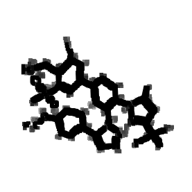 Cc1cc(C(C)(F)F)nn1-c1ccc(-c2cc(F)c(CO)c(S(C)(=O)=O)c2)cc1-n1nncc1-c1ccc(OC(F)(F)F)cc1